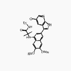 CCNC(=O)C(C)(C)Nc1cc(-c2c[nH]c3ncc(Cl)cc23)cc2cc(OC)c(OC)cc12